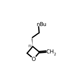 C=C1OC[C@@H]1CCCCCC